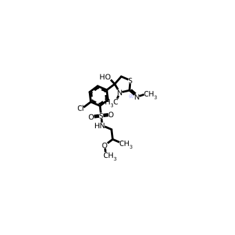 C/N=C1\SCC(O)(c2ccc(Cl)c(S(=O)(=O)NCC(C)OC)c2)N1C